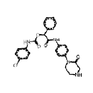 O=C(Nc1ccc(Cl)cc1)OC(C(=O)Nc1ccc(N2CCNCC2=O)cc1)c1ccccc1